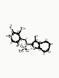 CCS(=O)(=O)N(Cc1c(F)cnc(F)c1F)c1sc2ccccc2c1C